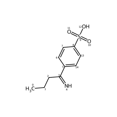 CCCC(=N)c1ccc(S(=O)(=O)O)cc1